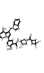 COc1ncc(-c2cc(Cn3cnc4ccccc43)c3c(N)ncnn23)cc1C(=O)N[C@@H]1CN(C(=O)C2CC(F)(F)C2)C[C@@H]1F